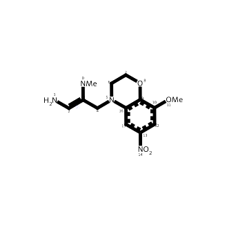 CN/C(=C\N)CN1CCOc2c(OC)cc([N+](=O)[O-])cc21